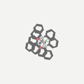 [Cl][Rh]([SbH]([c]1ccccc1)([c]1ccccc1)[c]1ccccc1)([SbH]([c]1ccccc1)([c]1ccccc1)[c]1ccccc1)[SbH]([c]1ccccc1)([c]1ccccc1)[c]1ccccc1